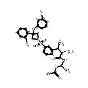 CC(OC(=O)C(C)C)OC(=O)[C@H](C(=O)O)C(N)c1cccc(S(=O)(=O)N2CC(Oc3cccc(F)c3)(c3ccccc3F)C2)c1